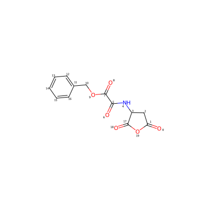 O=C1CC(NC(=O)C(=O)OCc2ccccc2)C(=O)O1